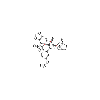 COc1ccc2ncc(C#N)c(CCN3C4=CC[C@H]3CC(NCc3cc5c(c([N+](=O)[O-])c3)OCO5)C4)c2c1